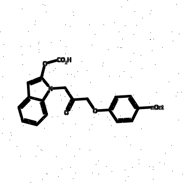 CCCCCCCCc1ccc(OCC(=O)Cn2c(OC(=O)O)cc3ccccc32)cc1